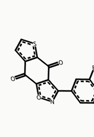 O=C1c2ccsc2C(=O)c2c(-c3cccc(Br)c3)noc21